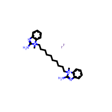 C[N+]1(CCCCCCCCCC[N+]2(C)C(N)=Nc3ccccc32)C(N)=Nc2ccccc21.[I-].[I-]